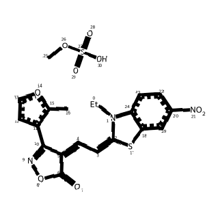 CCN1C(=CC=C2C(=O)ON=C2c2ccoc2C)Sc2cc([N+](=O)[O-])ccc21.COS(=O)(=O)O